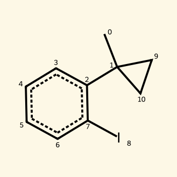 CC1(c2ccccc2I)CC1